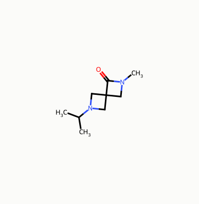 CC(C)N1CC2(CN(C)C2=O)C1